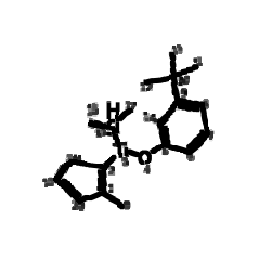 CC1=[C]([Ti]([O]c2cccc(C(C)(C)C)c2)[SiH](C)C)CC=C1